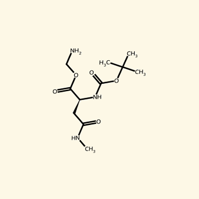 CNC(=O)C[C@H](NC(=O)OC(C)(C)C)C(=O)OCN